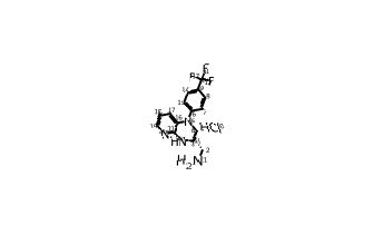 Cl.NC[C@H]1CN(c2ccc(C(F)(F)F)cc2)c2cccnc2N1